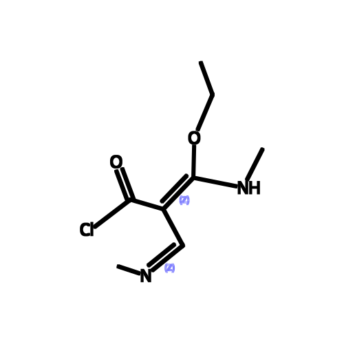 CCO/C(NC)=C(/C=N\C)C(=O)Cl